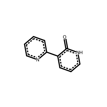 O=c1[nH]cccc1-c1ccccn1